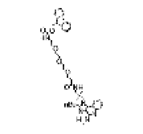 CCCCc1nc2c(N)nc3ccccc3c2n1CC(C)(C)CNC(=O)CCOCCOCCOCCNC(=O)OCC1c2ccccc2-c2ccccc21